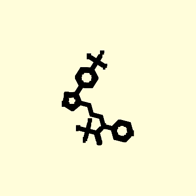 O=C(N(CCCc1cnoc1-c1ccc(C(F)(F)F)cc1)c1ccncc1)C(F)(F)F